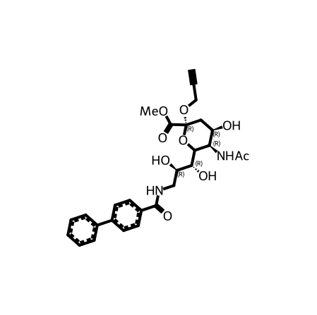 C#CCO[C@]1(C(=O)OC)C[C@@H](O)[C@@H](NC(C)=O)C([C@H](O)[C@H](O)CNC(=O)c2ccc(-c3ccccc3)cc2)O1